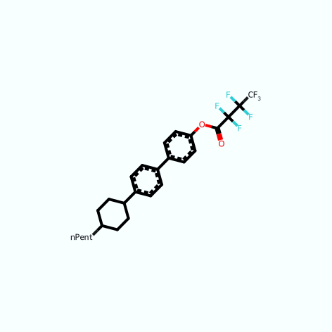 CCCCCC1CCC(c2ccc(-c3ccc(OC(=O)C(F)(F)C(F)(F)C(F)(F)F)cc3)cc2)CC1